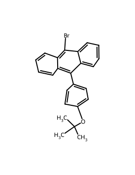 CC(C)(C)Oc1ccc(-c2c3ccccc3c(Br)c3ccccc23)cc1